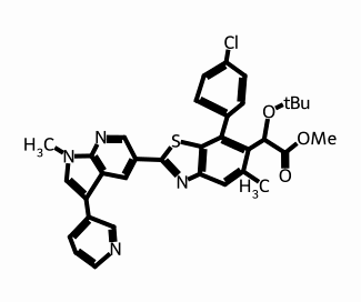 COC(=O)C(OC(C)(C)C)c1c(C)cc2nc(-c3cnc4c(c3)c(-c3cccnc3)cn4C)sc2c1-c1ccc(Cl)cc1